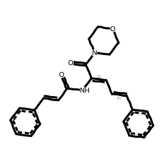 O=C(C=Cc1ccccc1)N/C(=C\C=C\c1ccccc1)C(=O)N1CCOCC1